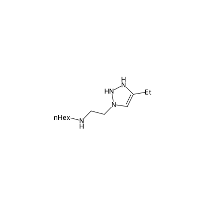 CCCCCCNCCN1C=C(CC)NN1